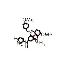 COc1ccc(CN(Cc2ccc(OC)cc2)c2cc(Nc3ccc(F)nc3F)cc3c2ncn3C)cc1